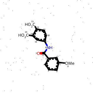 COc1cccc(C(=O)Nc2ccc(C(=O)O)c(C(=O)O)c2)c1